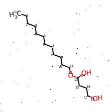 CCCCCCCCCCCCOC(O)CCCO